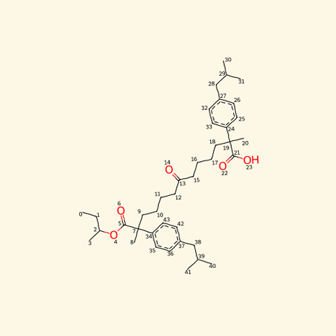 CCC(C)OC(=O)C(C)(CCCCC(=O)CCCCC(C)(C(=O)O)c1ccc(CC(C)C)cc1)c1ccc(CC(C)C)cc1